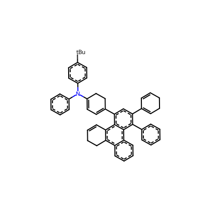 CC(C)(C)c1ccc(N(C2=CC=C(c3cc(C4=CCCC=C4)c(-c4ccccc4)c4c3c3c(c5ccccc54)CCC=C3)CC2)c2ccccc2)cc1